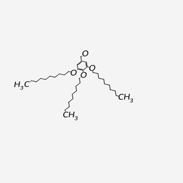 CCCCCCCCCCOc1cc(C=O)cc(OCCCCCCCCCC)c1OCCCCCCCCCC